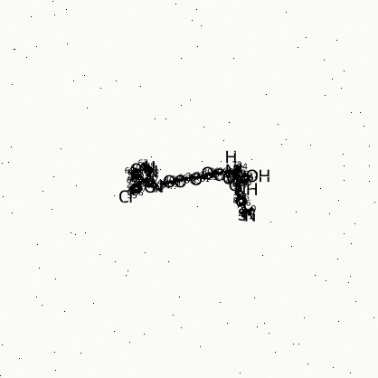 Cc1ncsc1-c1ccc(CNC(=O)[C@@H]2C[C@@H](O)CN2C(=O)[C@@H](NC(=O)COCCOCCOCCCOCCOCCN(C)C(=O)C[C@@H]2N=C(c3ccc(Cl)cc3)c3c(sc(C)c3C)-n3c(C)nnc32)C(C)(C)C)cc1